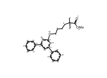 COC(=O)C(C)(C)CCCCOc1nc(-c2ccccc2)cc(-c2ccccc2)n1